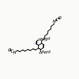 CCCCCCC/C=C\C1C(CCCCCCCCN=C=O)C=CC(CCCCC)C1CCCCCCCCN=C=O